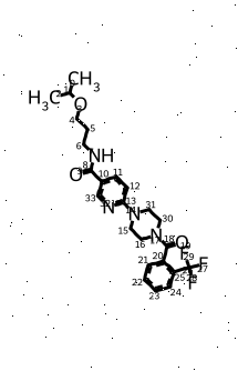 CC(C)OCCCNC(=O)c1ccc(N2CCN(C(=O)c3ccccc3C(F)(F)F)CC2)nc1